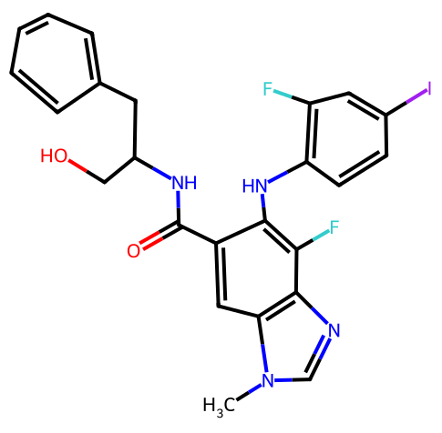 Cn1cnc2c(F)c(Nc3ccc(I)cc3F)c(C(=O)NC(CO)Cc3ccccc3)cc21